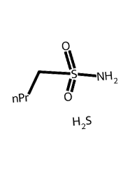 CCCCS(N)(=O)=O.S